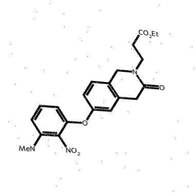 CCOC(=O)CCN1Cc2ccc(Oc3cccc(NC)c3[N+](=O)[O-])cc2CC1=O